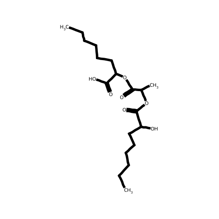 CCCCCCC(O)C(=O)OC(C)C(=O)OC(CCCCCC)C(=O)O